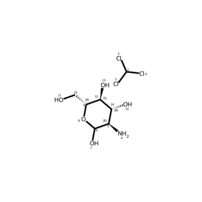 ClC(Cl)Cl.N[C@H]1C(O)O[C@H](CO)[C@@H](O)[C@@H]1O